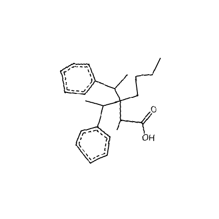 CCCCC(C(C)C(=O)O)(C(C)c1ccccc1)C(C)c1ccccc1